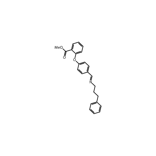 COC(=O)c1ccccc1Oc1ccc(C=NCCCc2ccccc2)cc1